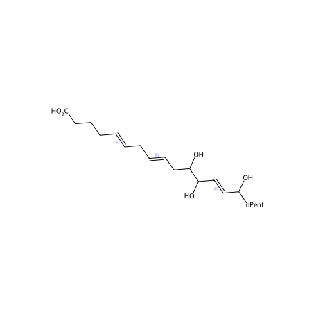 CCCCCC(O)/C=C/C(O)C(O)C/C=C/C/C=C/CCCC(=O)O